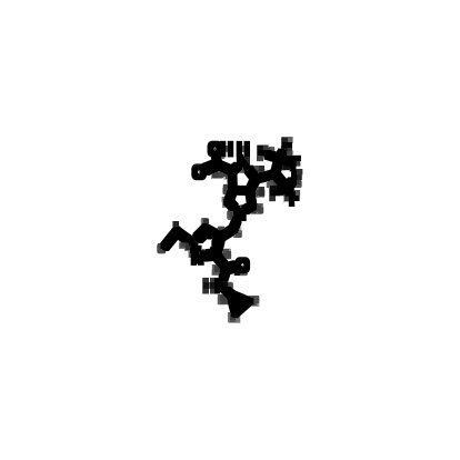 CCn1cc(CN2CC3C(C(=O)O)NC(C(C(F)(F)F)C(F)(F)F)C3C2)c(C(=O)NC2CC2)n1